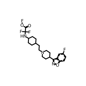 O=C(OF)C(F)(F)NC1CCC(CCN2CCC(c3noc4ccc(F)cc34)CC2)CC1